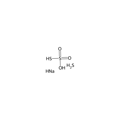 O=S(=O)(O)S.S.[NaH]